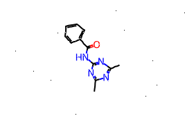 Cc1nc(C)nc(NC(=O)c2ccccc2)n1